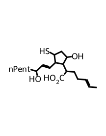 C/C=C/CCC(C(=O)O)C1C(O)CC(S)C1/C=C/C(O)CCCCC